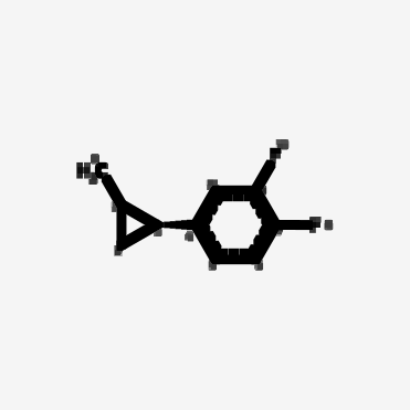 CC1C[C@H]1c1ccc(F)c(F)c1